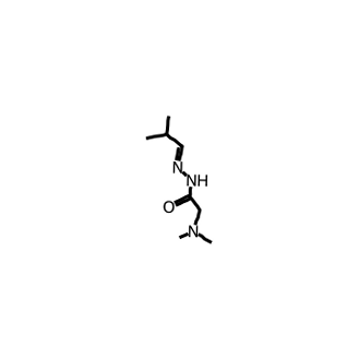 CC(C)/C=N/NC(=O)CN(C)C